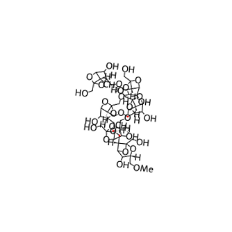 COC[C@H]1OC2(CO)OC(C1O)[C@@H]2COC[C@H]1OC2(CO[C@H]3OC4(CO)OC(C3O)[C@@H]4COC[C@H]3OC4(CO)OC(C3O)[C@@H]4C)OC(C1O)[C@@H]2COC[C@H]1OC2(CO)OC(C1O)[C@@H]2COC[C@H]1OC2(CO)OC(C1O)[C@@H]2C